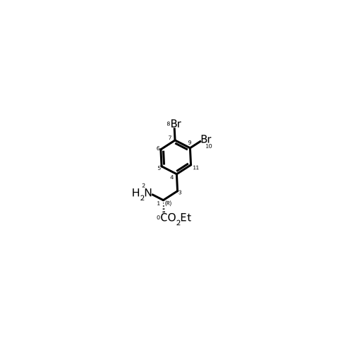 CCOC(=O)[C@H](N)Cc1ccc(Br)c(Br)c1